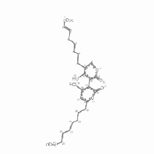 CCCCCCCCCCC=CCCCCCc1coc(=O)c(-c2c(O)cc(CCCCCCCCCCCCCCCCC)oc2=O)c1O